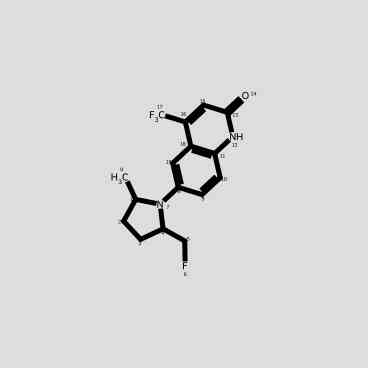 CC1CCC(CF)N1c1ccc2[nH]c(=O)cc(C(F)(F)F)c2c1